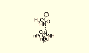 CCCCC1(CCC)NC(=N)N(CCCNC(=O)C(C)c2ccccc2)C1=O